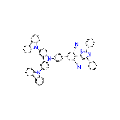 N#Cc1cc(-c2ccc(-n3c4ccc(-n5c6ccccc6c6ccccc65)cc4c4cc(-n5c6ccccc6c6ccccc65)ccc43)cc2)cc(C#N)c1-c1cc(-c2ccccc2)nc(-c2ccccc2)n1